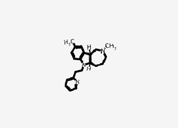 Cc1ccc2c(c1)[C@@H]1CN(C)CCC[C@@H]1N2CCc1ccccn1